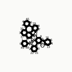 c1ccc(N2B3c4c(cc5c(oc6ccccc65)c4-c4ccccc42)-n2c4cccc5c4c4c6c(cccc6cc3c42)-c2ccccc2-5)cc1